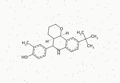 Cc1cc(C2Nc3ccc(C(C)(C)C)cc3[C@@H]3OCCC[C@H]23)ccc1O